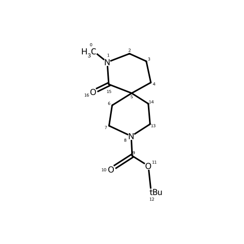 CN1CCCC2(CCN(C(=O)OC(C)(C)C)CC2)C1=O